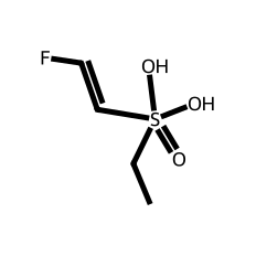 CCS(=O)(O)(O)C=CF